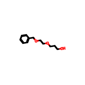 OCCCOCCOCc1ccccc1